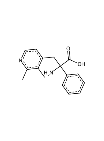 Cc1nccc(CC(N)(C(=O)O)c2ccccc2)c1C